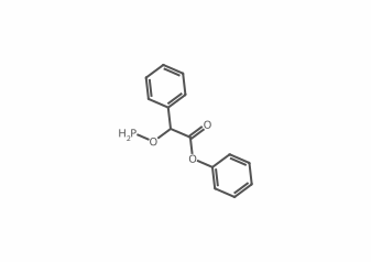 O=C(Oc1ccccc1)C(OP)c1ccccc1